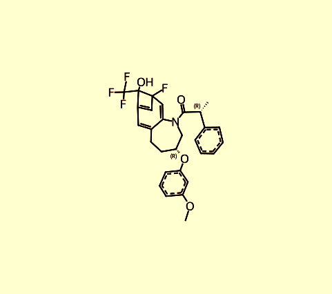 COc1cccc(O[C@@H]2CCC3=CC4=CC(F)(C=C3N(C(=O)[C@H](C)c3ccccc3)C2)C4(O)C(F)(F)F)c1